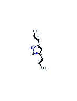 C/C=C/c1cc(/C=C/C)[nH]n1